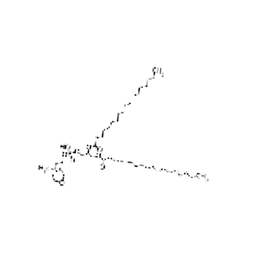 CCCCCCCCCCCCCCCCCC(=O)OCC(COP(=O)(O)OCC[N+]1(C)CCOCC1)OC(=O)CCCCCCCCCCCCCCCCC